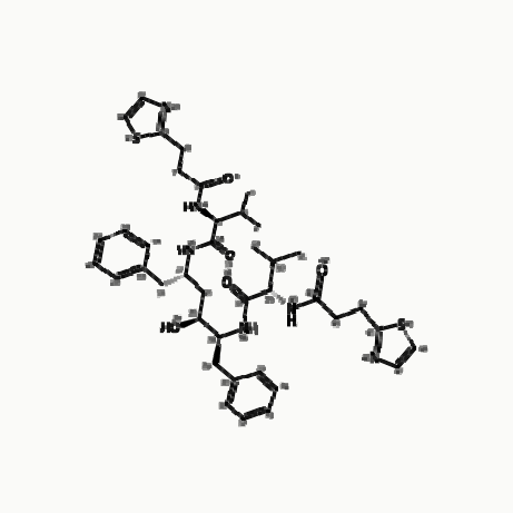 CC(C)[C@H](NC(=O)CCc1nccs1)C(=O)N[C@@H](Cc1ccccc1)C[C@H](O)[C@H](Cc1ccccc1)NC(=O)[C@@H](NC(=O)CCc1nccs1)C(C)C